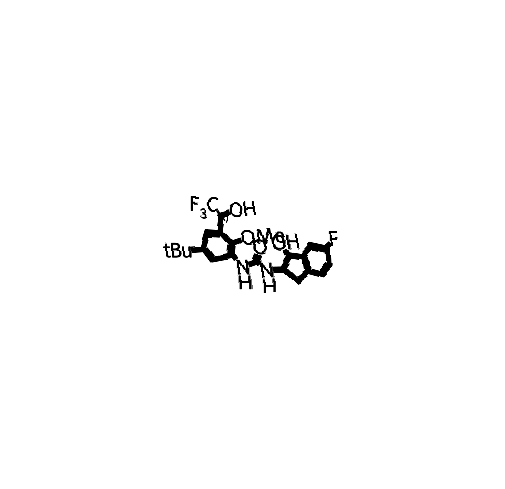 COc1c(NC(=O)NC2Cc3ccc(F)cc3C2O)cc(C(C)(C)C)cc1[C@@H](O)C(F)(F)F